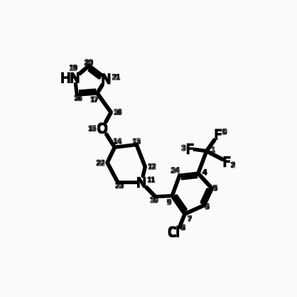 FC(F)(F)c1ccc(Cl)c(CN2CCC(OCc3c[nH]cn3)CC2)c1